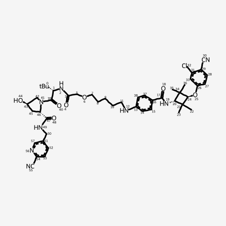 CC(C)(C)[C@H](NC(=O)COCCCCCNc1ccc(C(=O)N[C@H]2C(C)(C)[C@H](Oc3ccc(C#N)c(Cl)c3)C2(C)C)cc1)C(=O)N1C[C@H](O)C[C@H]1C(=O)NCc1ccc(C#N)nc1